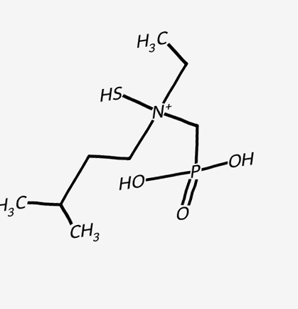 CC[N+](S)(CCC(C)C)CP(=O)(O)O